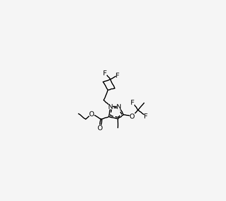 CCOC(=O)c1c(C)c(OC(C)(F)F)nn1CC1CC(F)(F)C1